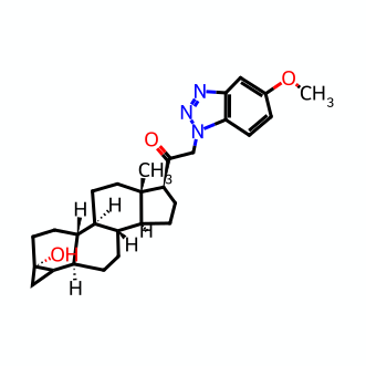 COc1ccc2c(c1)nnn2CC(=O)[C@H]1CC[C@H]2[C@@H]3CC[C@H]4C5C[C@@]5(O)CC[C@@H]4[C@H]3CC[C@]12C